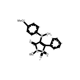 COc1ccc(N(C)C2=C(c3ccccc3)S(=O)(=O)N(C(C)(C)C)C2=O)cc1